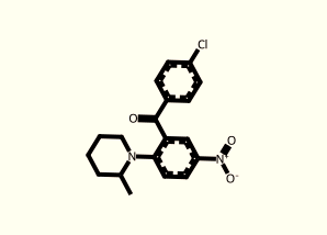 CC1CCCCN1c1ccc([N+](=O)[O-])cc1C(=O)c1ccc(Cl)cc1